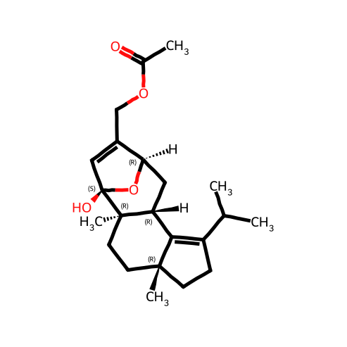 CC(=O)OCC1=C[C@]2(O)O[C@@H]1C[C@@H]1C3=C(C(C)C)CC[C@]3(C)CC[C@]12C